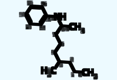 CCCC(C)CCC[C](C)Nc1ccccc1